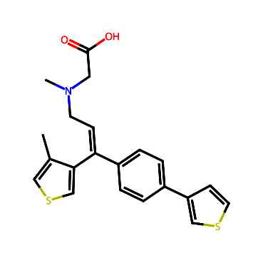 Cc1cscc1C(=CCN(C)CC(=O)O)c1ccc(-c2ccsc2)cc1